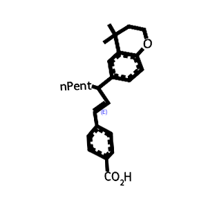 CCCCCC(/C=C/c1ccc(C(=O)O)cc1)c1ccc2c(c1)C(C)(C)CCO2